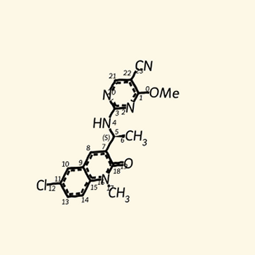 COc1nc(N[C@@H](C)c2cc3cc(Cl)ccc3n(C)c2=O)ncc1C#N